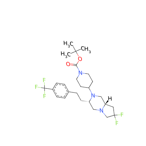 CC(C)(C)OC(=O)N1CCC(N2C[C@@H]3CC(F)(F)CN3C[C@@H]2CCc2ccc(C(F)(F)F)cc2)CC1